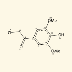 COc1cc(C(=O)CCl)cc(OC)c1O